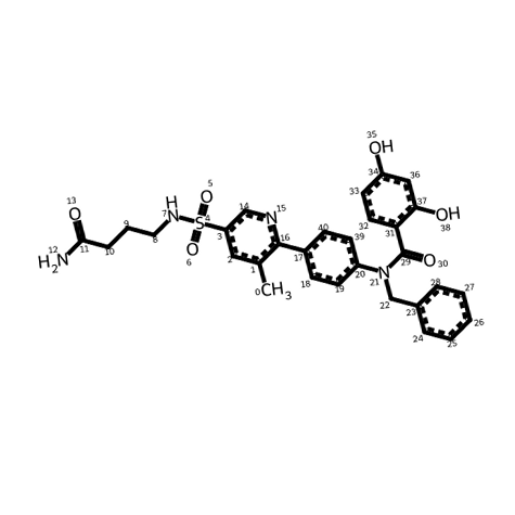 Cc1cc(S(=O)(=O)NCCCC(N)=O)cnc1-c1ccc(N(Cc2ccccc2)C(=O)c2ccc(O)cc2O)cc1